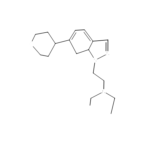 CCN(CC)CCN1N=CC2=CC=C(C3CCOCC3)CC21